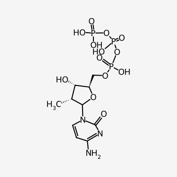 C[C@H]1C(n2ccc(N)nc2=O)O[C@H](COP(=O)(O)OP(=O)(O)OP(=O)(O)O)[C@H]1O